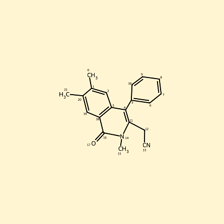 Cc1cc2c(-c3ccccc3)c(CC#N)n(C)c(=O)c2cc1C